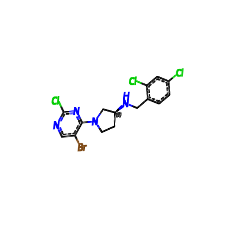 Clc1ccc(CN[C@H]2CCN(c3nc(Cl)ncc3Br)C2)c(Cl)c1